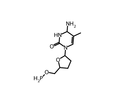 CC1=CN(C2CCC(COP)O2)C(=O)NC1N